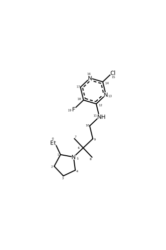 CCC1CCCN1C(C)(C)CCNc1nc(Cl)ncc1F